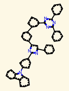 c1ccc(-c2cc(-c3cccc(-c4cccc(-c5nc(-c6ccccc6)nc(-c6ccccc6)n5)c4)c3)nc(-c3ccc(-n4c5ccccc5c5ccccc54)cc3)n2)cc1